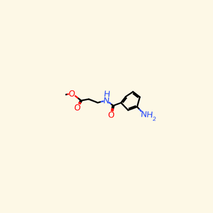 COC(=O)CCNC(=O)c1cccc(N)c1